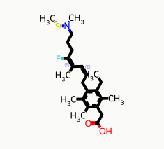 CCc1c(C)c(CC(=O)O)c(C)c(C)c1C/C=C\C(C)=C(\F)CCCN(C)SC